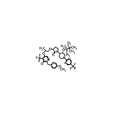 COc1ccc(Cn2ncc(OC(C)COC3CCN([C@@H]4CCN(c5ncc(C(F)(F)F)cn5)C[C@H]4O[Si](C)(C)C(C)(C)C)C3=O)c(C(F)(F)F)c2=O)cc1